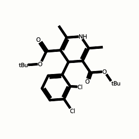 CC1=C(C(=O)OC(C)(C)C)C(c2cccc(Cl)c2Cl)C(C(=O)OC(C)(C)C)=C(C)N1